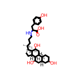 C[C@H](CCCNC(Cc1ccc(O)cc1)C(=O)O)[C@H]1CC[C@H]2[C@@H]3[C@H](O)C[C@@H]4C[C@H](O)CC[C@]4(C)[C@H]3C[C@H](O)[C@]12C